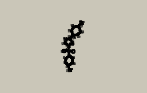 O=S(=O)(c1ccc(Br)cc1)n1cnc(-c2ccc(Br)cc2)n1